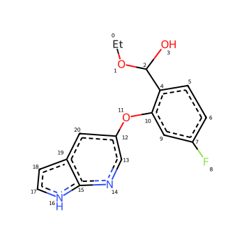 CCOC(O)c1ccc(F)cc1Oc1cnc2[nH]ccc2c1